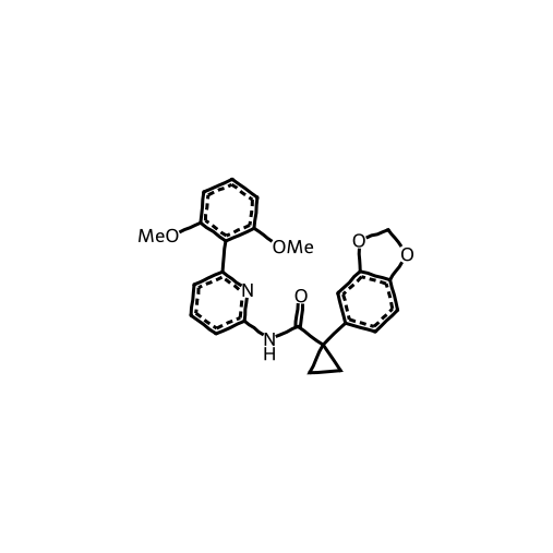 COc1cccc(OC)c1-c1cccc(NC(=O)C2(c3ccc4c(c3)OCO4)CC2)n1